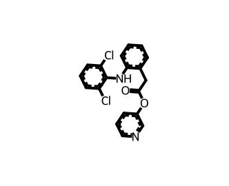 O=C(Cc1ccccc1Nc1c(Cl)cccc1Cl)Oc1cccnc1